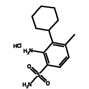 Cc1ccc(S(N)(=O)=O)c(N)c1C1CCCCC1.Cl